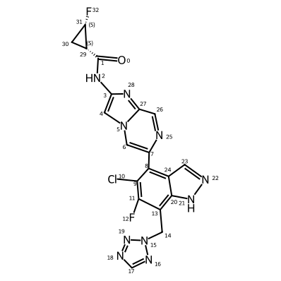 O=C(Nc1cn2cc(-c3c(Cl)c(F)c(Cn4ncnn4)c4[nH]ncc34)ncc2n1)[C@@H]1C[C@@H]1F